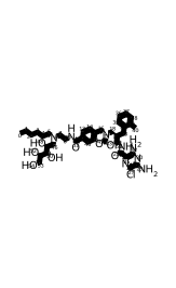 CCCCCCN(CCNC(=O)c1ccc(CN(C[C@H](CNC(=O)c2nc(Cl)c(N)nc2N)Cc2ccccc2C)C(=O)O)cc1)C[C@H](O)[C@@H](O)[C@H](O)CO